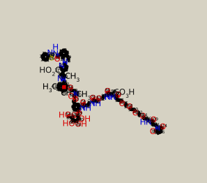 Cc1c(-c2ccc(N3CCc4cccc(C(=O)Nc5nc6ccccc6s5)c4C3)nc2C(=O)O)cnn1CC12CC3(C)CC(C)(C1)CC(OCCN(C)C(=O)OCc1ccc(O[C@@H]4O[C@H](CO)[C@H](O)[C@H](O)[C@H]4O)c(NC(=O)CCNC(=O)COCCNC(=O)[C@@H](CS(=O)(=O)O)NC(=O)CCOCCOCCOCCOCCNC(=O)CCN4C(=O)C=CC4=O)c1)(C3)C2